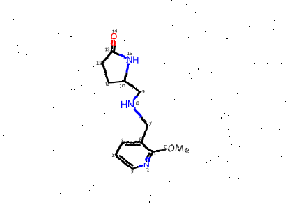 COc1ncccc1CNCC1CCC(=O)N1